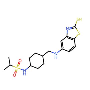 CC(C)S(=O)(=O)NC1CCC(CNc2ccc3sc(S)nc3c2)CC1